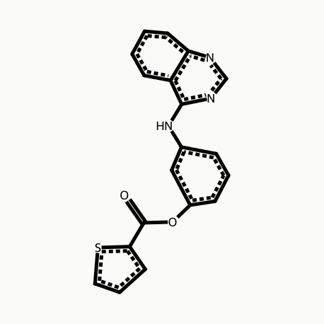 O=C(Oc1cccc(Nc2ncnc3ccccc23)c1)c1cccs1